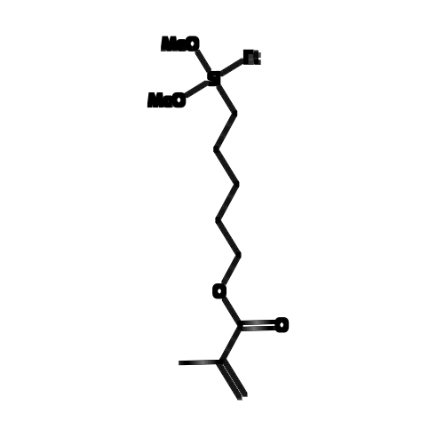 C=C(C)C(=O)OCCCCC[Si](CC)(OC)OC